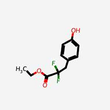 CCOC(=O)C(F)(F)Cc1ccc(O)cc1